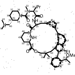 CCn1c(-c2cccnc2[C@H](C)OC)c2c3cc(ccc31)-c1csc(n1)C[C@H](NC(=O)C(C(C)C)N(C)C(=O)N1CCC[C@@H](CN(C)C)C1)C(=O)N1CCC[C@H](N1)C(=O)OCC(C)(C)C2